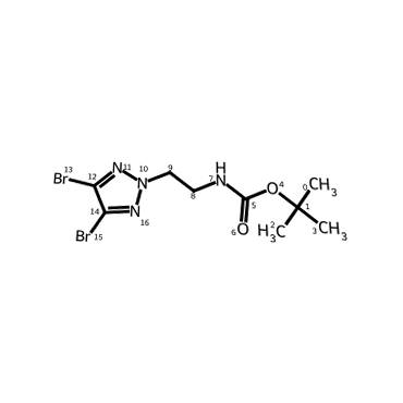 CC(C)(C)OC(=O)NCCn1nc(Br)c(Br)n1